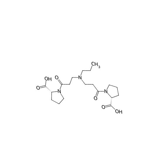 CCCN(CCC(=O)N1CCC[C@@H]1C(=O)O)CCC(=O)N1CCC[C@@H]1C(=O)O